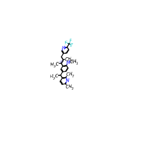 C=Nc1ccc(C(C)c2ccc(C)nc2C)cc1/C(C)=C(\C)Cc1ccc(C(F)(F)F)nc1